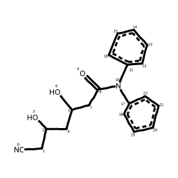 N#CCC(O)CC(O)CC(=O)N(c1ccccc1)c1ccccc1